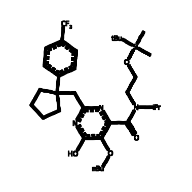 CCCCOc1c(O)nc(CC2(c3ccc(C(F)(F)F)cc3)CCCC2)nc1C(=O)N(CCO[Si](C)(C)C(C)(C)C)C(C)C